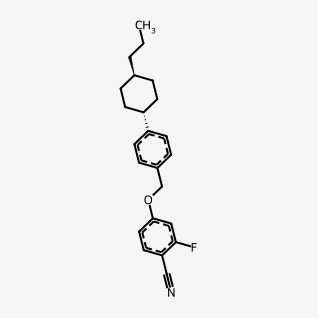 CCC[C@H]1CC[C@H](c2ccc(COc3ccc(C#N)c(F)c3)cc2)CC1